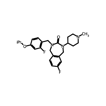 CC(C)Oc1ccc(CN2Cc3ccc(F)cc3CN(C3CCN(C)CC3)C2=O)c(F)c1